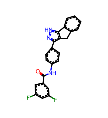 O=C(Nc1ccc(-c2n[nH]c3c2Cc2ccccc2-3)cc1)c1cc(F)cc(F)c1